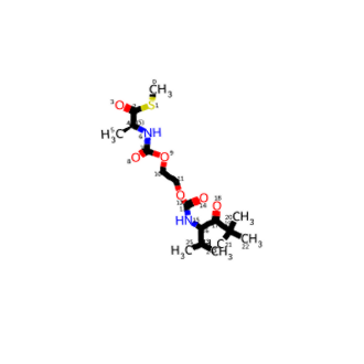 CSC(=O)[C@H](C)NC(=O)OCCOC(=O)NC(C(=O)C(C)(C)C)C(C)C